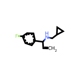 C=CC(NCC1CC1)c1ccc(F)cc1